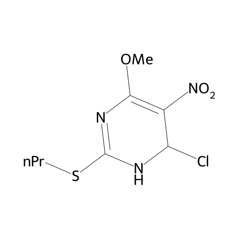 CCCSC1=NC(OC)=C([N+](=O)[O-])C(Cl)N1